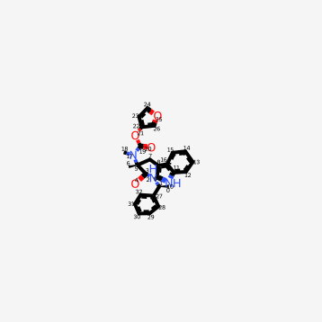 C[C@H](NC(=O)[C@@](C)(Cc1c[nH]c2ccccc12)N(C)C(=O)Oc1ccoc1)c1ccccc1